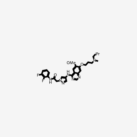 COc1cc2c(Nc3cnn(CC(=O)Nc4cccc(F)c4F)c3)ncnc2cc1OCCCN(C)CC(C)C